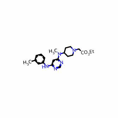 CCOC(=O)CN1CCC(N(C)c2cc(Nc3cccc(C)c3)ncn2)CC1